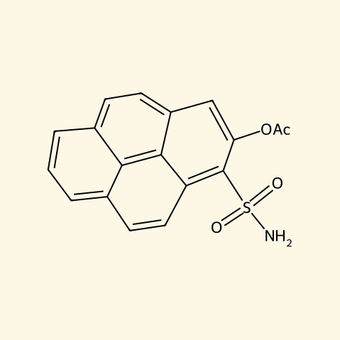 CC(=O)Oc1cc2ccc3cccc4ccc(c1S(N)(=O)=O)c2c34